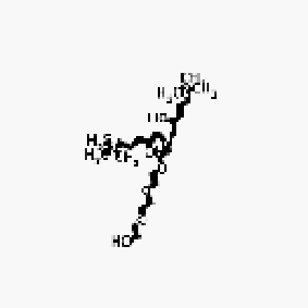 C[N+](C)(C)CCCC(O)CN(CCOCCOCCOCCO)CC(O)CCC[N+](C)(C)C